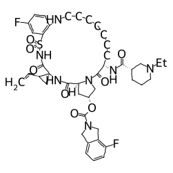 C=C[C@@H]1C[C@@]12NC(=O)[C@@H]1C[C@@H](OC(=O)N3Cc4cccc(F)c4C3)CN1C(=O)[C@@H](NC(=O)[C@H]1CCCN(CC)C1)CCCCCCCNc1ccc(F)cc1S(=O)(=O)NC2=O